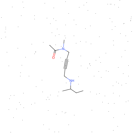 CCC(C)NCC#CCN(C)C(C)=O